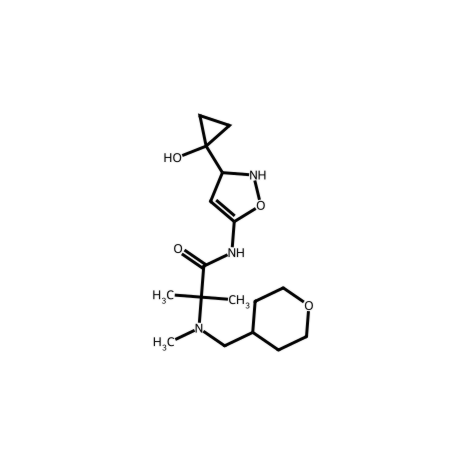 CN(CC1CCOCC1)C(C)(C)C(=O)NC1=CC(C2(O)CC2)NO1